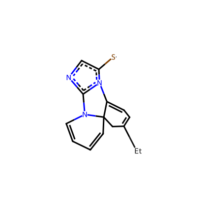 CCC1=CC=C2n3c([S])cnc3N3C=CC=CC23C1